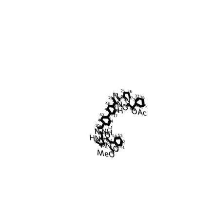 COC(=O)N[C@@H](C(=O)[C@@]1(c2ncc(-c3ccc(-c4ccc(-c5cnc([C@@H]6CCCN6C(=O)[C@H](OC(C)=O)c6ccccc6)[nH]5)cc4)cc3)[nH]2)CCCN1)c1ccccc1